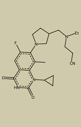 CCN(CCC#N)CC1CCN(c2c(F)cc3c(=O)[nH]c(=O)n(C4CC4)c3c2C)C1